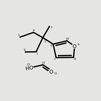 CCC(C)(CC)c1ccoc1.O=CO